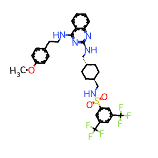 COc1ccc(CCNc2nc(NC[C@H]3CC[C@H](CNS(=O)(=O)c4cc(C(F)(F)F)cc(C(F)(F)F)c4)CC3)nc3ccccc23)cc1